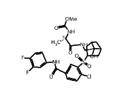 COC(=O)N[C@@H](C)C(=O)NCC1(O)C2CC1CC(S(=O)(=O)c1cc(C(=O)Nc3ccc(F)c(F)c3)ccc1Cl)C2